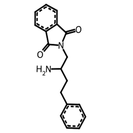 NC(CCc1ccccc1)CN1C(=O)c2ccccc2C1=O